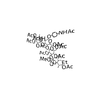 CC[C@@H](OC(C)=O)[C@@H](C)C1OC(OC2C(OC(C)=O)C(COC(C)=O)OC(OC3C(COC(C)=O)OC(Oc4ccc(NC(C)=O)cc4)C(NC(C)=O)C3OC3OC(C)C(OC(C)=O)C(OC(C)=O)C3OC(C)=O)C2OC(C)=O)(C(=O)OC)CC(C)C1C